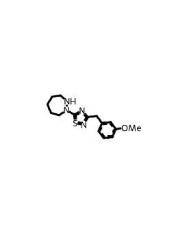 COc1cccc(Cc2nsc(N3CCCCCN3)n2)c1